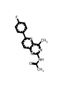 CC(=O)Nc1nc(C)c2nc(-c3ccc(F)cc3)ccc2n1